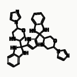 c1ccc2c(c1)NC(c1ccc(C3(C4COC(n5ccnc5)CN4)Nc4ccccc4N3)[nH]1)(C1COC(n3ccnc3)CN1)N2